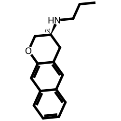 CCCN[C@@H]1COc2cc3ccccc3cc2C1